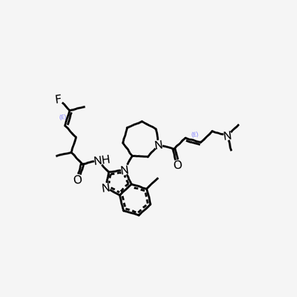 C/C(F)=C\CC(C)C(=O)Nc1nc2cccc(C)c2n1C1CCCCN(C(=O)/C=C/CN(C)C)C1